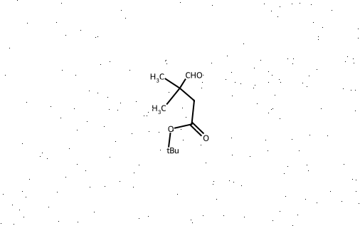 CC(C)([C]=O)CC(=O)OC(C)(C)C